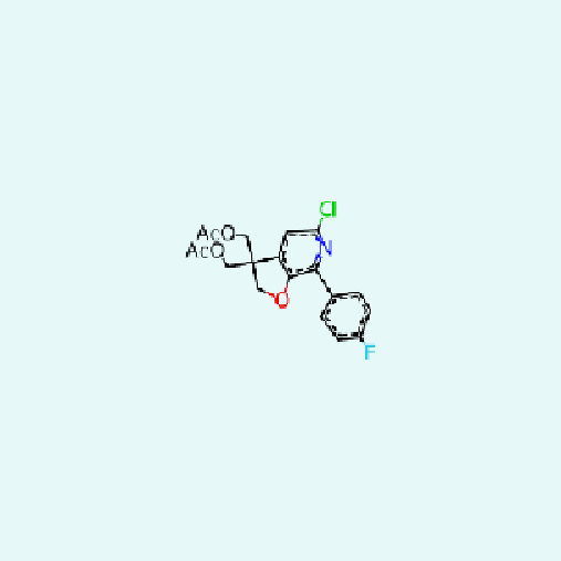 CC(=O)OCC1(COC(C)=O)COc2c1cc(Cl)nc2-c1ccc(F)cc1